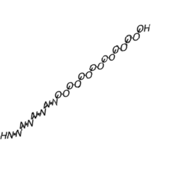 N=N/N=N/N=N/N=N/OOOOOOOOOOOOOOO